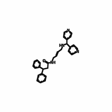 O=C(CC(c1ccccc1)c1ccccc1)NC/C=C/CNC(c1ccncc1)c1ccncc1